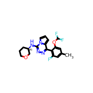 Cc1cc(F)c(-c2nnc(N[C@@H]3CCCOC3)n3cccc23)c(OC(F)F)c1